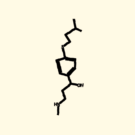 CNCCC(O)c1ccc(SCCC(C)C)cc1